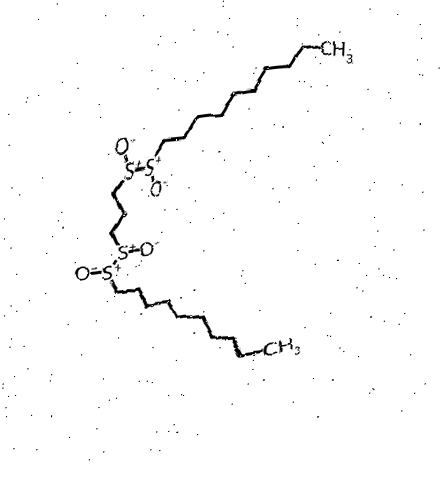 CCCCCCCCCC[S+]([O-])[S+]([O-])CCC[S+]([O-])[S+]([O-])CCCCCCCCCC